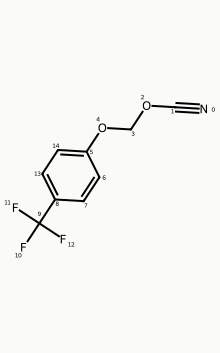 N#COCOc1ccc(C(F)(F)F)cc1